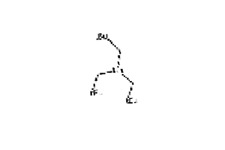 CC(C)(C)[CH2][Ga]([CH2]C(C)(C)C)[CH2]C(C)(C)C